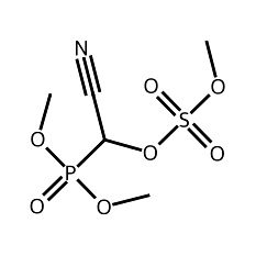 COP(=O)(OC)C(C#N)OS(=O)(=O)OC